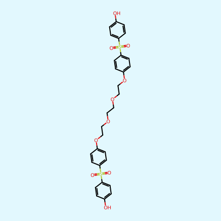 O=S(=O)(c1ccc(O)cc1)c1ccc(OCCOCCOCCOc2ccc(S(=O)(=O)c3ccc(O)cc3)cc2)cc1